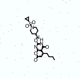 CCCCc1cc(=O)oc2nc(ON=C3CCN(S(=O)(=O)C4CC4)CC3)[nH]c(=O)c12